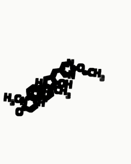 CCOc1ncc(C=C2C[C@H]3[C@@H]4CCC5N(C)C(=O)C=C[C@]5(C)[C@@H]4CC[C@]3(C)C2O)cn1